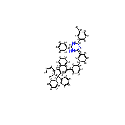 C/C=C\C1=C(C)C(c2ccccc2)(c2ccccc2)c2cc(C3=CC=CC(c4cccc(C5=NC(c6cccc(C)c6)=NC(c6ccccc6)N5)c4)C3)c3ccccc3c21